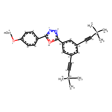 CCCCCCCCOc1ccc(-c2nnc(-c3cc(C#C[Si](C)(C)C)cc(C#C[Si](C)(C)C)c3)o2)cc1